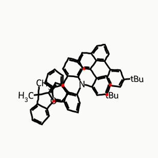 CC(C)(C)c1cc(-c2cccc3cccc(-c4ccccc4N(c4ccccc4-c4ccc5c(c4)C(C)(C)c4ccccc4-5)c4cccc5oc6ccccc6c45)c23)cc(C(C)(C)C)c1